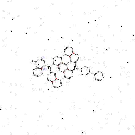 C=C(/C=C\C(=C/C)N(c1ccc(-c2ccccc2)cc1)c1ccccc1-c1ccc(-c2ccccc2N(c2ccc(-c3ccccc3)cc2)c2ccc(-c3ccccc3)cc2)cc1)c1ccccc1